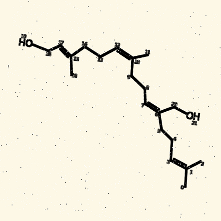 CC(C)=CCC/C(=C/CC/C(C)=C\CC/C(C)=C/CO)CO